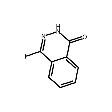 O=c1[nH]nc(I)c2ccccc12